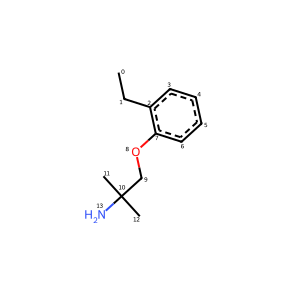 CCc1ccccc1OCC(C)(C)N